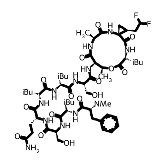 CC[C@H](C)[C@H](NC(=O)[C@@H](Cc1ccccc1)NC)C(=O)N[C@@H](CO)C(=O)N[C@H](CCC(N)=O)C(=O)N[C@@H](C(=O)N[C@H](C(=O)N[C@@H](CO)C(=O)N[C@H]1C(=O)N[C@@H](C)C(=O)N[C@@]2(C[C@H]2CC(F)F)C(=O)N[C@@H]([C@@H](C)CC)C(=O)O[C@H]1C)[C@@H](C)CC)[C@@H](C)CC